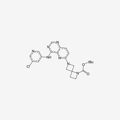 CC(C)(C)OC(=O)N1CCC12CN(c1ccc3ncnc(Nc4cncc(Cl)c4)c3n1)C2